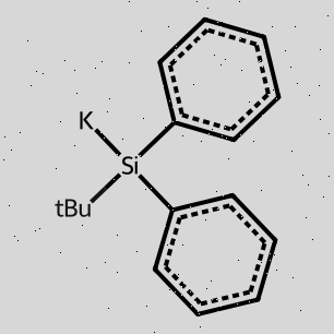 CC(C)(C)[Si]([K])(c1ccccc1)c1ccccc1